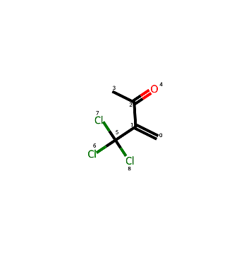 C=C(C(C)=O)C(Cl)(Cl)Cl